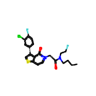 CCCCN(CCF)C(=O)Cn1ccc2scc(-c3ccc(F)c(Cl)c3)c2c1=O